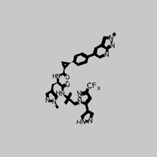 Cn1cc(C[C@@H](NC(=O)[C@H]2C[C@@H]2c2ccc(-c3cnc4nn(C)cc4c3)cc2)C(=O)NC(C)(C)Cn2nc(C(F)(F)F)cc2-c2cn[nH]c2)cn1